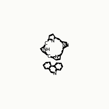 C1=Cc2cc3ccc(cc4nc(cc5ccc(cc1n2)[nH]5)C=C4)[nH]3.c1ccc2c(c1)cnc1ccccc12